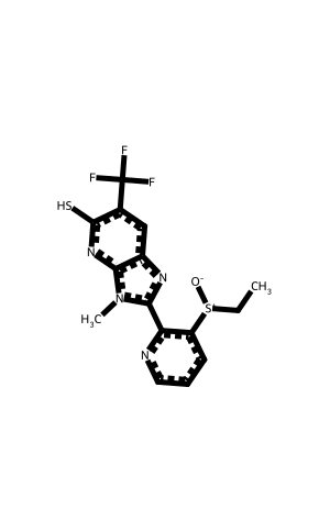 CC[S+]([O-])c1cccnc1-c1nc2cc(C(F)(F)F)c(S)nc2n1C